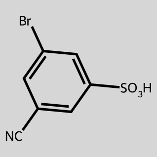 N#Cc1cc(Br)cc(S(=O)(=O)O)c1